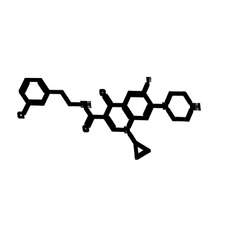 O=C(NCCc1cccc(Cl)c1)c1cn(C2CC2)c2cc(N3CCNCC3)c(F)cc2c1=O